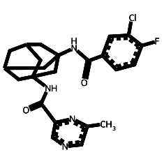 Cc1cncc(C(=O)NC23CC4CC(CC(NC(=O)c5ccc(F)c(Cl)c5)(C4)C2)C3)n1